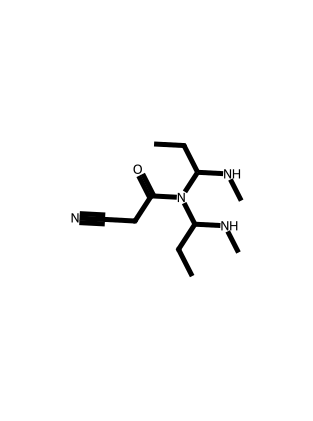 CCC(NC)N(C(=O)CC#N)C(CC)NC